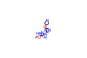 CCOc1cc(Nc2cncc(OC3CCN(C)CC3)n2)n[nH]1